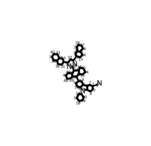 N#Cc1ccc2c(c1)c1cc(-c3c4ccccc4c(-c4nc(-c5ccc6ccccc6c5)cc(-c5ccc6ccccc6c5)n4)c4ccccc34)ccc1n2-c1ccccc1